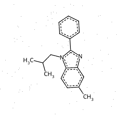 Cc1ccc2c(c1)nc(-c1ccccc1)n2CC(C)C